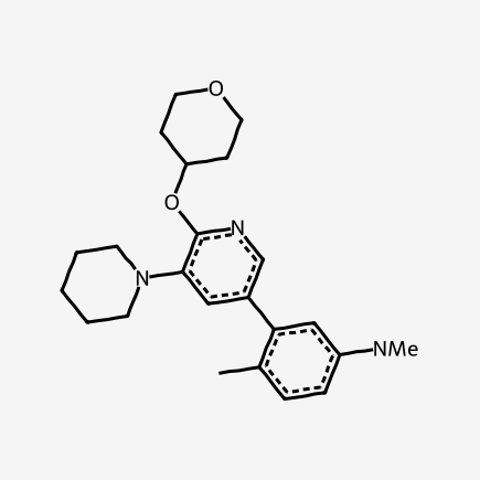 CNc1ccc(C)c(-c2cnc(OC3CCOCC3)c(N3CCCCC3)c2)c1